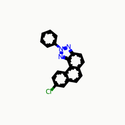 Clc1ccc2c(ccc3ccc4nn(-c5ccccc5)nc4c32)c1